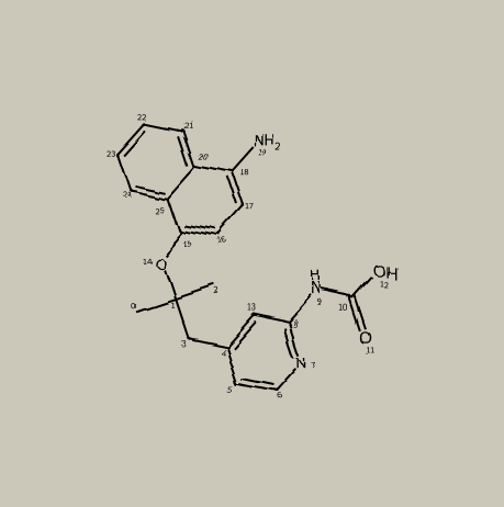 CC(C)(Cc1ccnc(NC(=O)O)c1)Oc1ccc(N)c2ccccc12